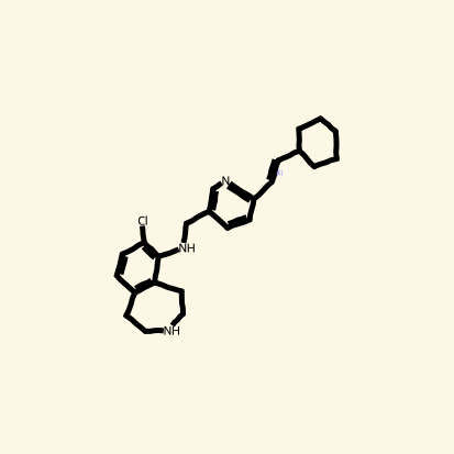 Clc1ccc2c(c1NCc1ccc(/C=C/C3CCCCC3)nc1)CCNCC2